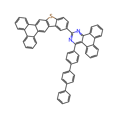 c1ccc(-c2ccc(-c3ccc(-c4nc(-c5ccc6sc7cc8c9ccccc9c9ccccc9c8cc7c6c5)nc5c6ccccc6c6ccccc6c45)cc3)cc2)cc1